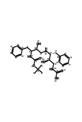 CC(C)(C)OC(=O)NC(Cc1ccccc1)C(O)CN[C@H](Cc1ccccc1)[C@H](O)CNC(=O)O